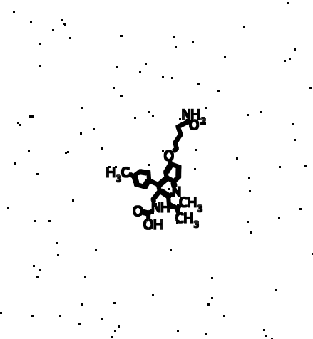 Cc1ccc(-c2c(CNC(=O)O)c(CC(C)C)nc3ccc(OCCCCC(N)=O)cc23)cc1